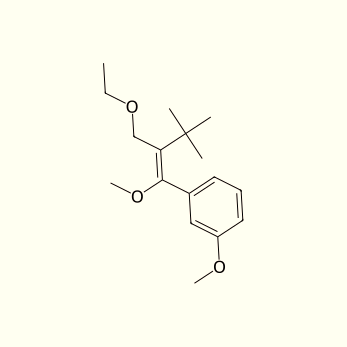 CCOC/C(=C(\OC)c1cccc(OC)c1)C(C)(C)C